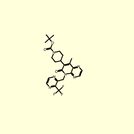 Cc1c(C2CCN(C(=O)OC(C)(C)C)CC2)c(=O)n(Cc2nccnc2C(F)(F)F)c2nccnc12